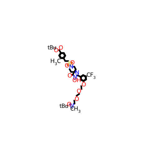 Cc1cc(C(=O)OC(C)(C)C)ccc1CCS(=O)(=O)N1CCC2(CC1)N=C(c1cc(OCCOCCOCCN(C)OC(C)(C)C)cc(C(F)(F)F)c1)N(O)C2=O